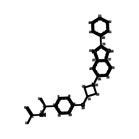 C=C(C)N[C@@H](C)c1ccc(OC2CN(c3ccc4oc(-c5ccccc5)nc4c3)C2)cc1